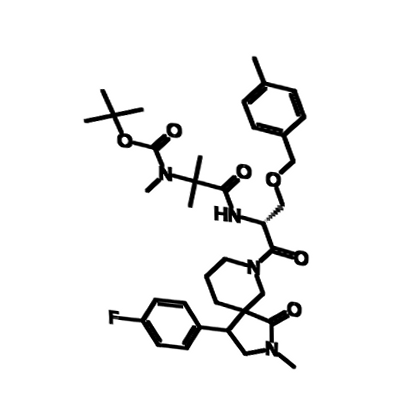 Cc1ccc(COC[C@@H](NC(=O)C(C)(C)N(C)C(=O)OC(C)(C)C)C(=O)N2CCCC3(C2)C(=O)N(C)CC3c2ccc(F)cc2)cc1